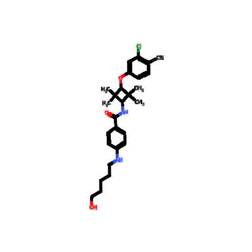 CC1(C)C(NC(=O)c2ccc(NCCCCCO)cc2)C(C)(C)C1Oc1ccc(C#N)c(Cl)c1